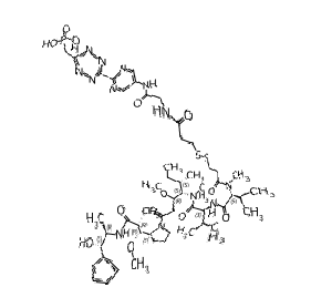 CC[C@H](C)[C@@H]([C@@H](CC(=O)N1CCC[C@H]1[C@H](OC)[C@@H](C)C(=O)N[C@H](C)[C@@H](O)c1ccccc1)OC)N(C)C(=O)[C@@H](NC(=O)[C@H](C(C)C)N(C)C(=O)CCSSCCC(=O)NCC(=O)Nc1cnc(-c2nnc(CP(=O)(O)O)nn2)nc1)C(C)C